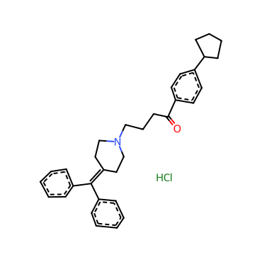 Cl.O=C(CCCN1CCC(=C(c2ccccc2)c2ccccc2)CC1)c1ccc(C2CCCC2)cc1